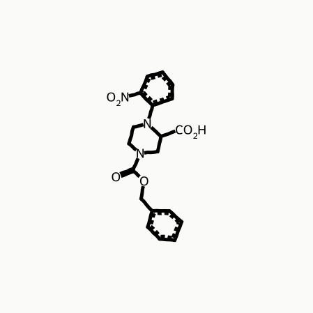 O=C(O)C1CN(C(=O)OCc2ccccc2)CCN1c1ccccc1[N+](=O)[O-]